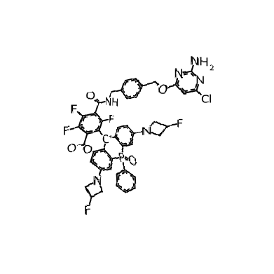 Nc1nc(Cl)cc(OCc2ccc(CNC(=O)c3c(F)c(F)c(C(=O)[O-])c([C+]4c5ccc(N6CC(F)C6)cc5P(=O)(c5ccccc5)c5cc(N6CC(F)C6)ccc54)c3F)cc2)n1